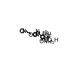 COc1cc(-c2cnc3cc(OCCCN4CCCCC4)ccn23)c(C(C)(C)C)c(OC(F)F)c1C(=O)O